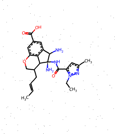 CC=CCC1COc2cc(C(=O)O)cc3c2C1[C@@](N)(NC(=O)c1cc(C)nn1CC)C3N